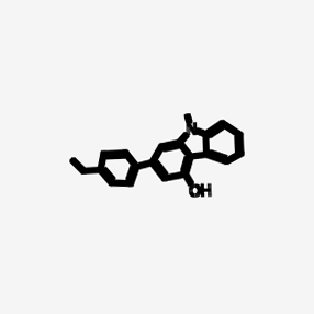 CCc1ccc(-c2cc(O)c3c4ccccc4n(C)c3c2)cc1